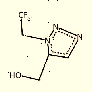 OCc1cnnn1CC(F)(F)F